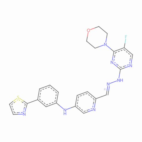 Fc1cnc(N/N=C/c2ccc(Nc3cccc(-c4nccs4)c3)cn2)nc1N1CCOCC1